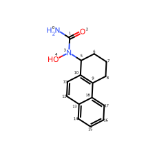 NC(=O)N(O)C1CCCc2c1ccc1ccccc21